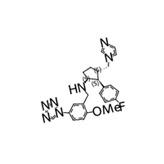 COc1ccc(-n2cnnn2)cc1CN[C@H]1CC[C@H](Cn2ccnc2)[C@H]1c1ccc(F)cc1